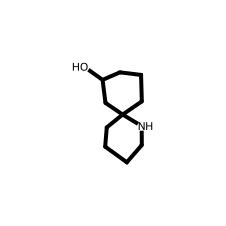 OC1CCCC2(CCCCN2)C1